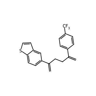 C=C(CCC(=C)c1ccc2sccc2c1)c1ccc(C(F)(F)F)cc1